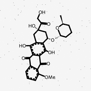 COc1cccc2c1C(=O)c1c(O)c3c(c(O)c1C2=O)C[C@@](O)(C(=O)CO)C[C@@H]3O[C@H]1CCC[C@H](C)O1